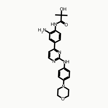 CC(C)(O)C(=O)Nc1ccc(-c2ccnc(Nc3ccc(N4CCOCC4)cc3)n2)cc1N